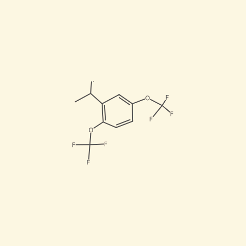 [CH2]C(C)c1cc(OC(F)(F)F)ccc1OC(F)(F)F